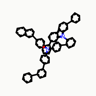 c1ccc(-c2cccc(-c3ccc(N(c4ccc(-c5ccc6ccccc6c5)cc4)c4ccc(-c5ccccc5-n5c6cc(-c7ccccc7)ccc6c6ccc(-c7ccccc7)cc65)cc4)cc3)c2)cc1